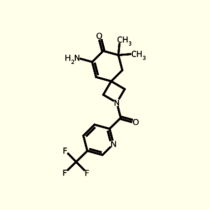 CC1(C)CC2(C=C(N)C1=O)CN(C(=O)c1ccc(C(F)(F)F)cn1)C2